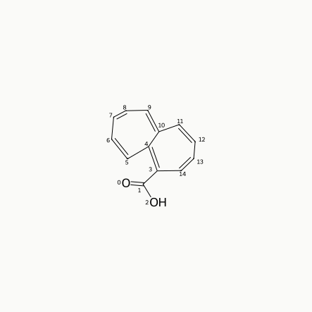 O=C(O)C1=C2C=CC=CC=C2C=CC=C1